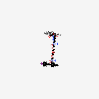 C#Cc1ccc(C#Cc2ccc(I)cc2)c(C(=O)NCCOCCOCCOCC(=O)NCCCCC(NC(C(=O)OC)C(=O)OC)C(=O)OC)c1